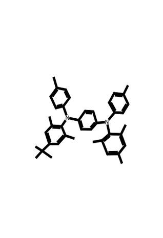 Cc1ccc(N(c2ccc(N(c3ccc(C)cc3)c3c(C)cc(C(C)(C)C)cc3C)cc2)c2c(C)cc(C)cc2C)cc1